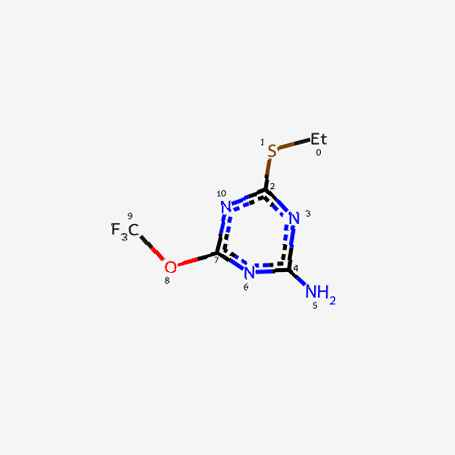 CCSc1nc(N)nc(OC(F)(F)F)n1